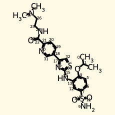 CC(C)Oc1ccc(S(N)(=O)=O)cc1Nc1nc(-c2ccc(C(=O)NCCN(C)C)nc2)cs1